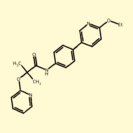 CCOc1ccc(-c2ccc(NC(=O)C(C)(C)Oc3ccccn3)cc2)cn1